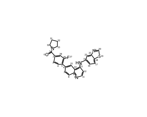 O=C(c1ccc(-c2ccc3nccc(Nc4ccc5scnc5c4)c3c2)c(F)c1)N1CCCC1